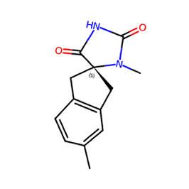 Cc1ccc2c(c1)C[C@@]1(C2)C(=O)NC(=O)N1C